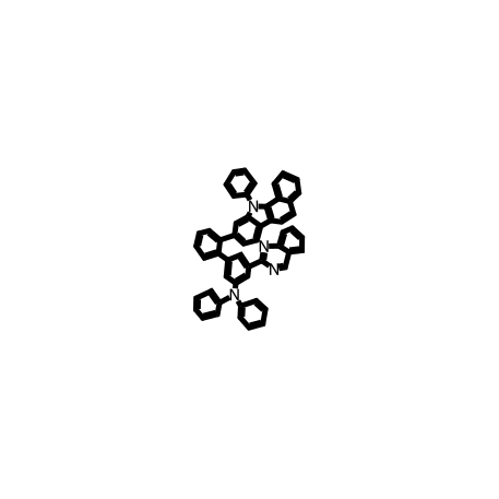 c1ccc(N(c2ccccc2)c2cc(-c3ncc4ccccc4n3)cc(-c3ccccc3-c3ccc4c5ccc6ccccc6c5n(-c5ccccc5)c4c3)c2)cc1